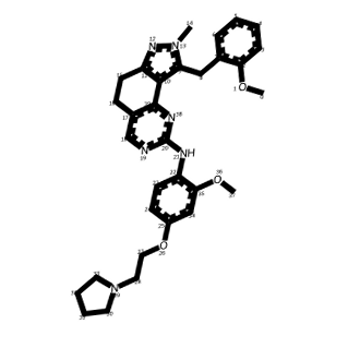 COc1ccccc1Cc1c2c(nn1C)CCc1cnc(Nc3ccc(OCCN4CCCC4)cc3OC)nc1-2